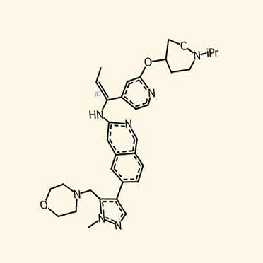 C/C=C(/Nc1cc2cc(-c3cnn(C)c3CN3CCOCC3)ccc2cn1)c1ccnc(OC2CCN(C(C)C)CC2)c1